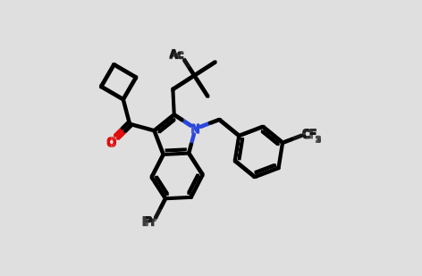 CC(=O)C(C)(C)Cc1c(C(=O)C2CCC2)c2cc(C(C)C)ccc2n1Cc1cccc(C(F)(F)F)c1